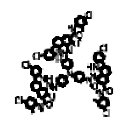 COc1c(C(=O)N(C)c2ccc(Cl)cc2C)cc2ccc3c4cc(Cl)ccc4[nH]c3c2c1N=Nc1ccc(N(c2ccc(N=Nc3c(OC)c(C(=O)N(C)c4ccc(Cl)cc4C)cc4ccc5c6cc(Cl)ccc6[nH]c5c34)cc2)c2ccc(N=Nc3c(OC)c(C(=O)N(C)c4ccc(Cl)cc4C)cc4ccc5c6cc(Cl)ccc6[nH]c5c34)cc2)cc1